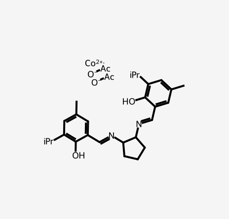 CC(=O)[O-].CC(=O)[O-].Cc1cc(C=NC2CCCC2N=Cc2cc(C)cc(C(C)C)c2O)c(O)c(C(C)C)c1.[Co+2]